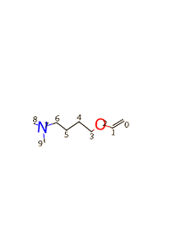 C=COCCCCN(C)C